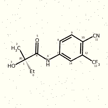 CC[C@@](C)(O)C(=O)Nc1ccc(C#N)c(C(F)(F)F)c1